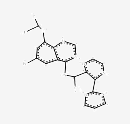 CC(Nc1ncnc2c(OC(F)F)cc(Br)cc12)c1nccnc1-c1ncccn1